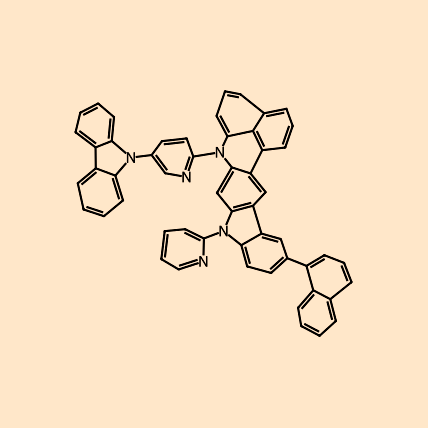 c1ccc(-n2c3ccc(-c4cccc5ccccc45)cc3c3cc4c(cc32)N(c2ccc(-n3c5ccccc5c5ccccc53)cn2)c2cccc3cccc-4c23)nc1